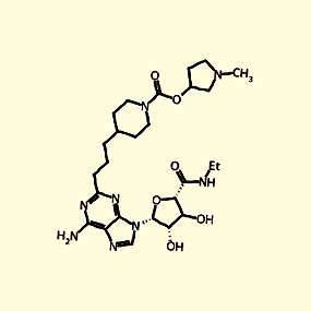 CCNC(=O)[C@H]1O[C@@H](n2cnc3c(N)nc(CCCC4CCN(C(=O)OC5CCN(C)C5)CC4)nc32)[C@@H](O)C1O